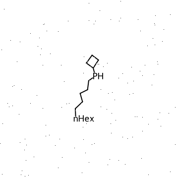 CCCCCCCCCCCPC1CCC1